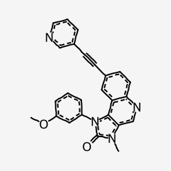 COc1cccc(-n2c(=O)n(C)c3cnc4ccc(C#Cc5cccnc5)cc4c32)c1